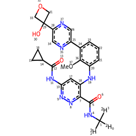 [2H]C([2H])([2H])NC(=O)c1nnc(NC(=O)C2CC2)cc1Nc1cccc(-c2cnc(C3(O)COC3)cn2)c1OC